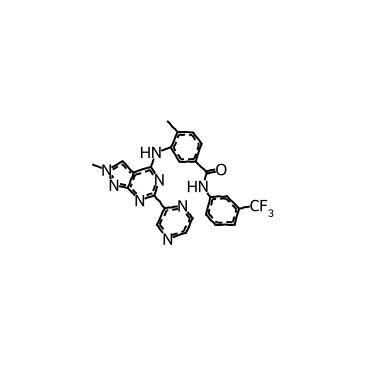 Cc1ccc(C(=O)Nc2cccc(C(F)(F)F)c2)cc1Nc1nc(-c2cnccn2)nc2nn(C)cc12